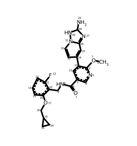 COc1ncc(C(=O)NCc2c(F)cccc2OCC2CC2)cc1C1=CC2=NC(N)NN2C=C1